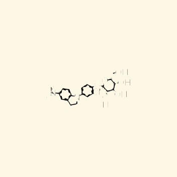 O=[N+]([O-])c1ccc2c(c1)CCN2c1ccc(O[C@@]2(Cl)O[C@H](CO)[C@@H](O)[C@H](O)[C@@H]2O)cc1